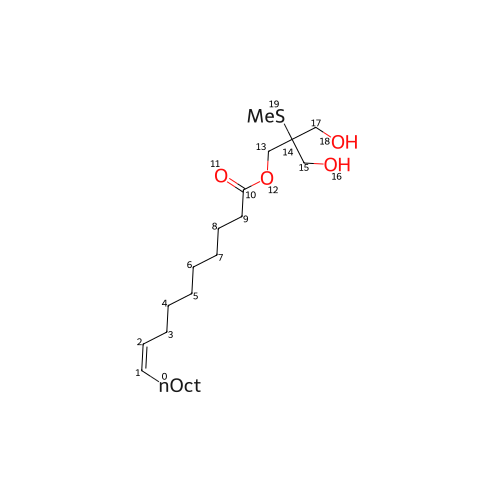 CCCCCCCC/C=C\CCCCCCCC(=O)OCC(CO)(CO)SC